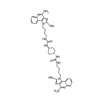 CCCCc1nc2c(N)nc3ccccc3c2n1CCCCNC(=O)N[C@H]1CC[C@H](NC(=O)NCCCCn2c(CCCC)nc3c(N)nc4ccccc4c32)CC1